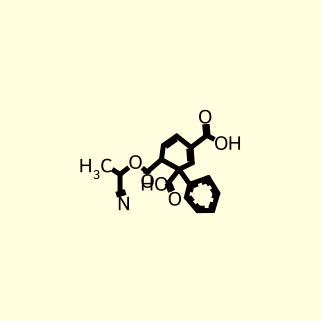 CC(C#N)OC(=O)C1C=CC(C(=O)O)=CC1(C(=O)O)c1ccccc1